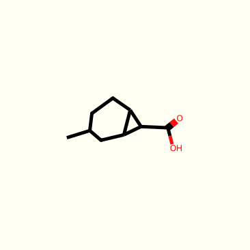 CC1CCC2C(C1)C2C(=O)O